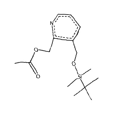 CC(=O)OCc1ncccc1CO[Si](C)(C)C(C)(C)C